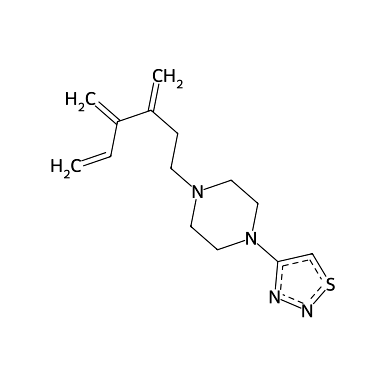 C=CC(=C)C(=C)CCN1CCN(c2csnn2)CC1